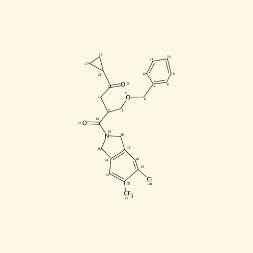 O=C(CC(COCc1ccccc1)C(=O)N1Cc2cc(Cl)c(C(F)(F)F)cc2C1)C1CC1